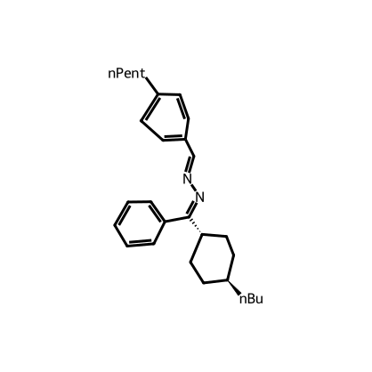 CCCCCc1ccc(C=NN=C(c2ccccc2)[C@H]2CC[C@H](CCCC)CC2)cc1